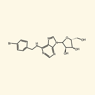 OC[C@H]1OC(n2cnc3c(NCc4ccc(Br)cc4)ncnc32)[C@H](O)[C@@H]1O